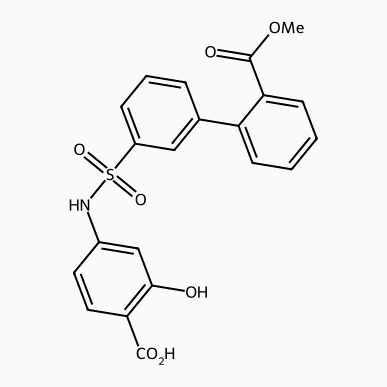 COC(=O)c1ccccc1-c1cccc(S(=O)(=O)Nc2ccc(C(=O)O)c(O)c2)c1